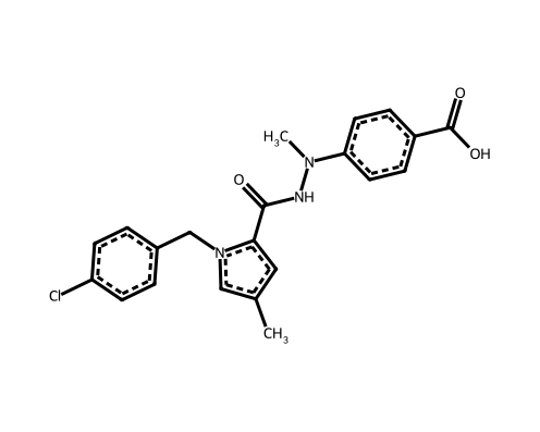 Cc1cc(C(=O)NN(C)c2ccc(C(=O)O)cc2)n(Cc2ccc(Cl)cc2)c1